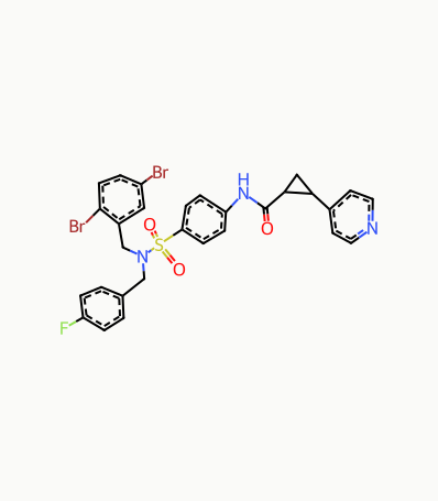 O=C(Nc1ccc(S(=O)(=O)N(Cc2ccc(F)cc2)Cc2cc(Br)ccc2Br)cc1)C1CC1c1ccncc1